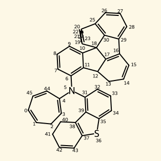 C1=CCC=C(N(c2cccc3c2C2CC=CC4=C2C32C3=C(C=CCC3)c3cccc4c32)c2cccc3sc4c(c23)CCC=C4)C=C1